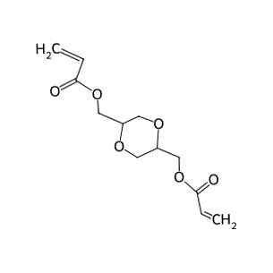 C=CC(=O)OCC1COC(COC(=O)C=C)CO1